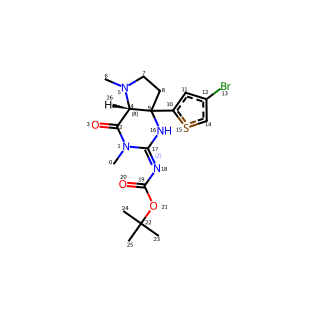 CN1C(=O)[C@@H]2N(C)CCC2(c2cc(Br)cs2)N/C1=N/C(=O)OC(C)(C)C